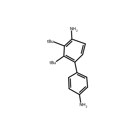 CC(C)(C)c1c(N)ccc(-c2ccc(N)cc2)c1C(C)(C)C